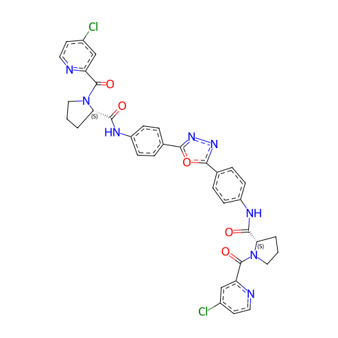 O=C(Nc1ccc(-c2nnc(-c3ccc(NC(=O)[C@@H]4CCCN4C(=O)c4cc(Cl)ccn4)cc3)o2)cc1)[C@@H]1CCCN1C(=O)c1cc(Cl)ccn1